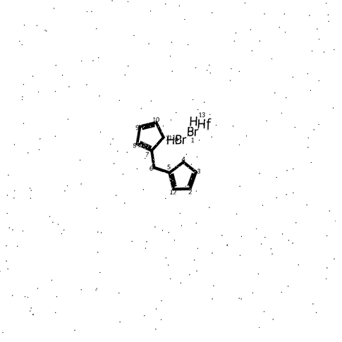 Br.Br.C1=CCC(CC2=CC=CC2)=C1.[Hf]